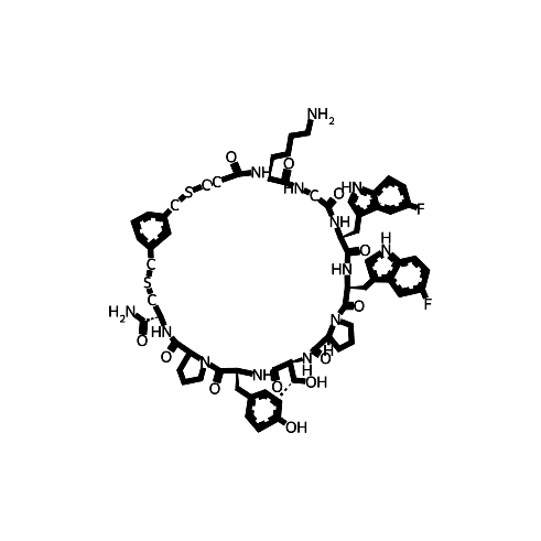 C[C@@H](O)[C@@H]1NC(=O)[C@@H]2CCCN2C(=O)[C@H](Cc2c[nH]c3ccc(F)cc23)NC(=O)[C@H](Cc2c[nH]c3ccc(F)cc23)NC(=O)CNC(=O)[C@H](CCCCN)NC(=O)CCSCc2cccc(c2)CSC[C@@H](C(N)=O)NC(=O)C2CCCN2C(=O)[C@H](Cc2ccc(O)cc2)NC1=O